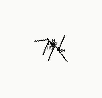 CCCCCCCCCCCCCC(C)CN(CCCCC1NC(=O)C(CCCCN(CC(O)CCCCCCCCCCCCC)CC(O)CCCCCCCCCCCCC)N(CC(O)CCCCCCCCCCCCC)C1=O)CC(O)CCCCCCCCCCCCC